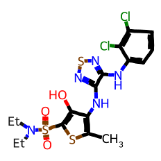 CCN(CC)S(=O)(=O)c1sc(C)c(Nc2nsnc2Nc2cccc(Cl)c2Cl)c1O